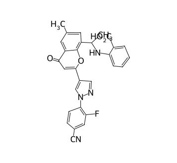 Cc1cc(C(C)Nc2ccccc2C(=O)O)c2oc(-c3cnn(-c4ccc(C#N)cc4F)c3)cc(=O)c2c1